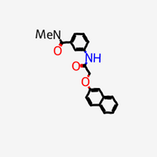 CNC(=O)c1cccc(NC(=O)COc2ccc3ccccc3c2)c1